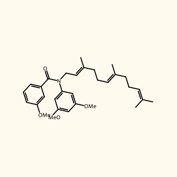 COc1cccc(C(=O)N(C/C=C(\C)CC/C=C(\C)CCC=C(C)C)c2cc(OC)cc(OC)c2)c1